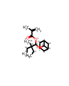 C=C(C)C(=O)OC(OC1C2CCCC1C2)C(C)(CC)CC